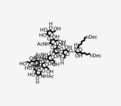 CCCCCCCCCCCCC/C=C/[C@@H](O)[C@H](CO[C@@H]1OC(CO)[C@@H](O[C@@H]2OC(CO)[C@H](O[C@@H]3OC(CO)[C@H](O)[C@H](O[C@@H]4OC(CO)[C@H](O)[C@H](O)C4O)C3NC(C)=O)[C@H](O[C@@H]3OC(CO)[C@@H](O)[C@H](O[C@@H]4OC(CO)[C@H](O[C@@H]5OC(CO)[C@H](O)[C@H](O)C5NC(C)=O)[C@H](O[C@]5(C(=O)O)CC(O)[C@@H](NC(C)=O)C([C@H](O)[C@H](O)CO)O5)C4O)C3NC(C)=O)C2O)[C@H](O)C1O)NC(=O)CCCCCCCCCCCCCCC